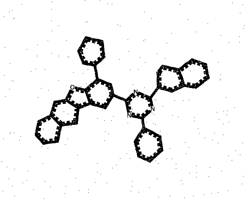 c1ccc(-c2nc(-c3ccc4ccccc4c3)nc(-c3cc(-c4ccccc4)c4oc5cc6ccccc6cc5c4c3)n2)cc1